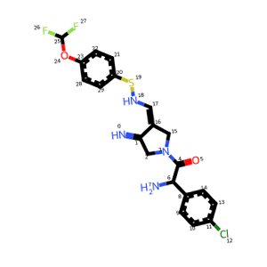 N=C1CN(C(=O)C(N)c2ccc(Cl)cc2)C/C1=C/NSc1ccc(OC(F)F)cc1